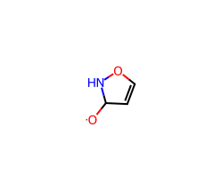 [O]C1C=CON1